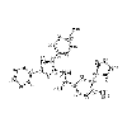 O=C(Nc1cc(-c2ccncc2)nn1-c1ccc(F)cc1)c1ccc(C(F)(F)F)c(-c2ncns2)c1